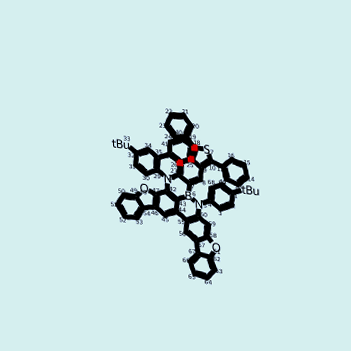 CC(C)(C)c1ccc(N2B3c4cc5c(-c6ccccc6)sc(-c6ccccc6)c5cc4N(c4ccc(C(C)(C)C)cc4-c4ccccc4)c4c3c(cc3c4oc4ccccc43)-c3cc4c(cc32)oc2ccccc24)cc1